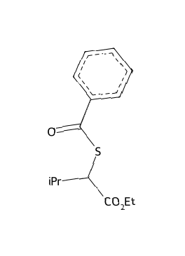 CCOC(=O)C(SC(=O)c1ccccc1)C(C)C